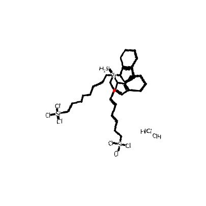 Cl.Cl.[SiH2]=[Zr]([CH2]CCCCCCC[Si](Cl)(Cl)Cl)([CH2]CCCCCCC[Si](Cl)(Cl)Cl)([CH]1C=CC2=C1CCCC2)[CH]1C=CC2=C1CCCC2